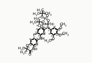 [2H]C([2H])(OP(=O)(OC(C)(C)C)OC(C)(C)C)N(c1cc(OC)c(OC)c(OC)c1)c1ncc(F)c(Nc2ccc3c(n2)NC(=O)C(C)(C)O3)n1